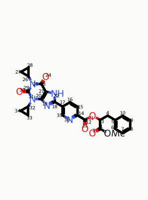 COC(=O)C(Cc1ccccc1)OC(=O)c1ccc(-c2nc3c([nH]2)c(=O)n(C2CC2)c(=O)n3C2CC2)cn1